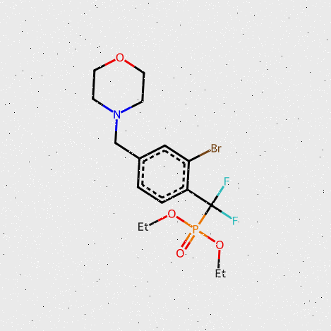 CCOP(=O)(OCC)C(F)(F)c1ccc(CN2CCOCC2)cc1Br